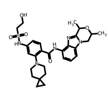 CC1Cn2c(nc3c(NC(=O)c4ccc(NS(=O)(=O)CCO)cc4N4CCC5(CC4)CC5)cccc32)C(C)O1